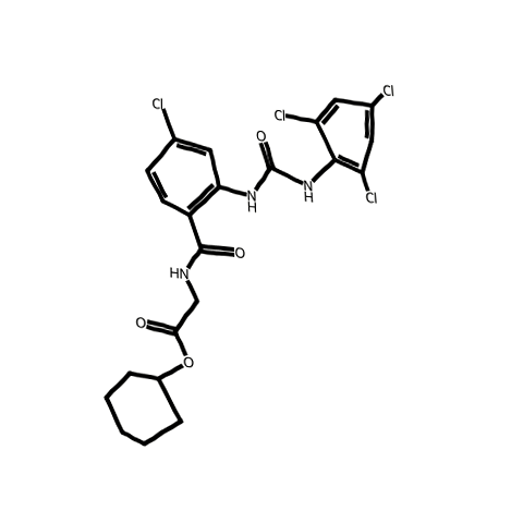 O=C(Nc1cc(Cl)ccc1C(=O)NCC(=O)OC1CCCCC1)Nc1c(Cl)cc(Cl)cc1Cl